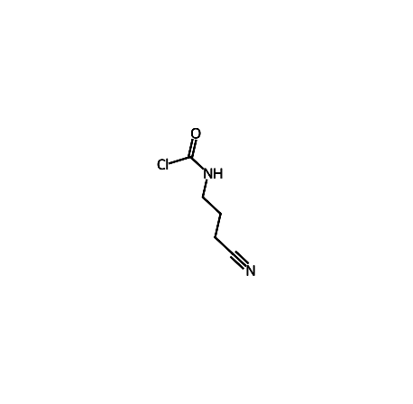 N#CCCCNC(=O)Cl